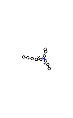 CC1(C)c2cc(-c3ccccc3)ccc2-c2ccc(N(c3ccc(-c4ccc5ccccc5c4)cc3)c3ccc4c(c3)C(C)(C)c3cc(-c5ccc(-c6ccc(-c7ccccc7)cc6)cc5)ccc3-4)cc21